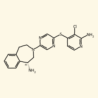 Nc1nccc(Sc2cnc(N3CCc4ccccc4[C@@H](N)C3)cn2)c1Cl